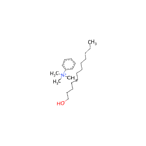 CCCCCCCCCCCCO.C[N+](C)(C)c1ccccc1